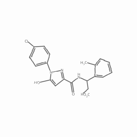 Cc1ccccc1C(CC(=O)O)NC(=O)c1cc(O)n(-c2ccc(Cl)cc2)n1